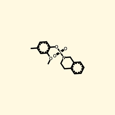 COc1cc(C)ccc1OS(=O)(=O)N1CCc2ccccc2C1